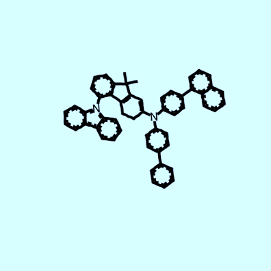 CC1(C)C2=C(CCC(N(c3ccc(-c4ccccc4)cc3)c3ccc(-c4cccc5ccccc45)cc3)=C2)c2c(-n3c4ccccc4c4ccccc43)cccc21